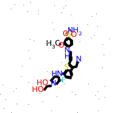 COc1cc(S(N)(=O)=O)ccc1NCC#Cc1sc2c(NC3CCN(CC(O)CO)CC3F)cccc2c1CC#N